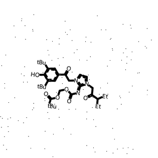 CCC(CC)C(=O)Cn1ccn(CC(=O)c2cc(C(C)(C)C)c(O)c(C(C)(C)C)c2)c1=NC(=O)OCOC(=O)C(C)(C)C